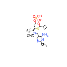 CC(=C(CCOP(=O)(O)O)SC(=O)C1CCC1)N(C=O)Cc1cnc(C)nc1N